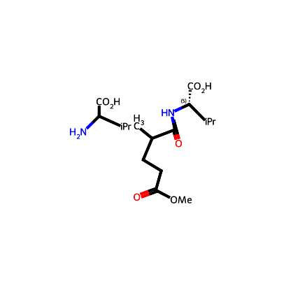 CC(C)C(N)C(=O)O.COC(=O)CCC(C)C(=O)N[C@H](C(=O)O)C(C)C